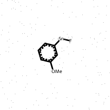 COc1ccc[c]([Sn][F])c1